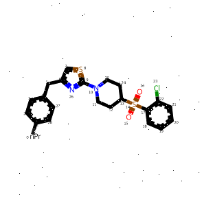 CCCc1ccc(Cc2csc(N3CCC(S(=O)(=O)c4ccccc4Cl)CC3)n2)cc1